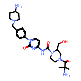 CC(C)(N)C(=O)N1CCN(C(=O)Nc2ccn(-c3ccc(CN4CCC(N)CC4)cc3)c(=O)n2)C(CO)C1